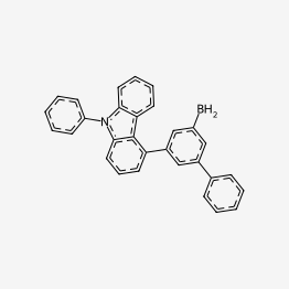 Bc1cc(-c2ccccc2)cc(-c2cccc3c2c2ccccc2n3-c2ccccc2)c1